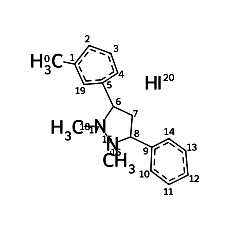 Cc1cccc(C2CC(c3ccccc3)N(C)N2C)c1.I